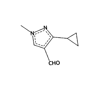 Cn1cc(C=O)c(C2CC2)n1